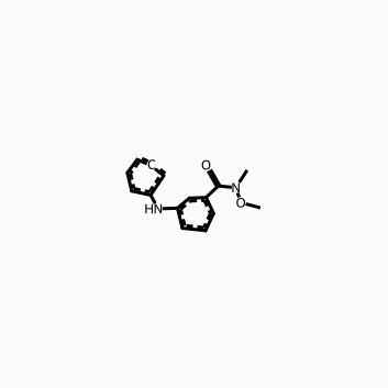 CON(C)C(=O)c1cccc(Nc2ccccc2)c1